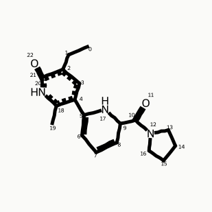 CCc1cc(C2=CC=CC(C(=O)N3CCCC3)N2)c(C)[nH]c1=O